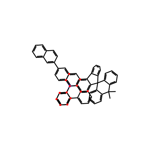 CC1(C)c2ccccc2C2(c3ccccc3-c3cc(N(c4ccc(-c5ccc6ccccc6c5)cc4)c4ccccc4-c4ccccc4-c4ccccc4-c4ccccc4)ccc32)c2ccccc21